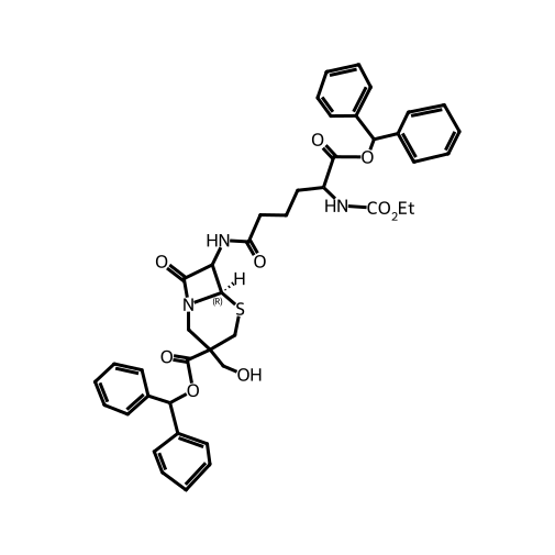 CCOC(=O)NC(CCCC(=O)NC1C(=O)N2CC(CO)(C(=O)OC(c3ccccc3)c3ccccc3)CS[C@H]12)C(=O)OC(c1ccccc1)c1ccccc1